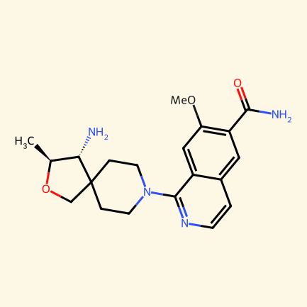 COc1cc2c(N3CCC4(CC3)CO[C@@H](C)[C@@H]4N)nccc2cc1C(N)=O